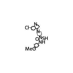 COc1ccc(NC(=O)N(S)C2CCN(c3ccnc4cc(Cl)ccc34)CC2)cc1